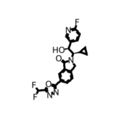 O=C1c2cc(-c3nnc(C(F)F)o3)ccc2CN1[C@H](C1CC1)[C@@H](O)c1ccc(F)nc1